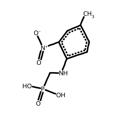 Cc1ccc(NCP(=O)(O)O)c([N+](=O)[O-])c1